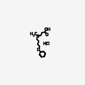 CN(CCCCOc1ccccc1)CCC(=O)O.Cl